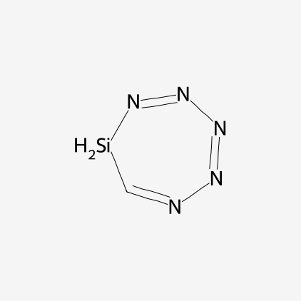 C1=NN=NN=N[SiH2]1